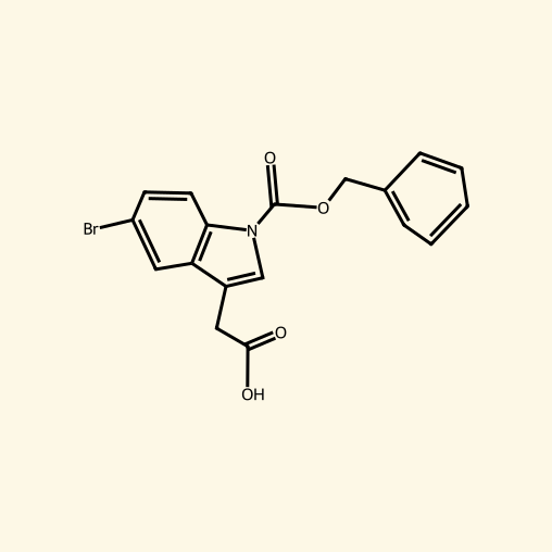 O=C(O)Cc1cn(C(=O)OCc2ccccc2)c2ccc(Br)cc12